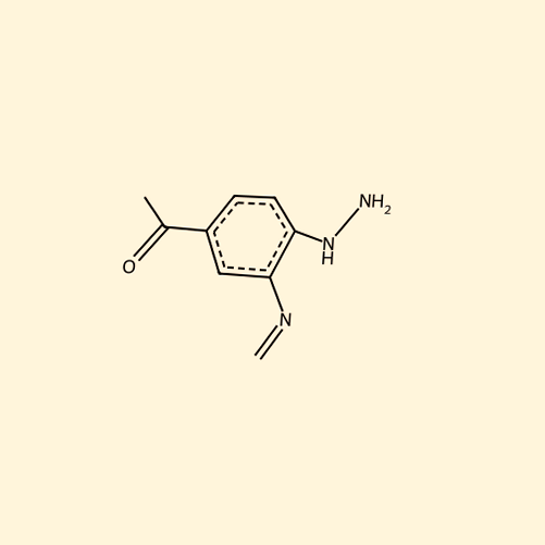 C=Nc1cc(C(C)=O)ccc1NN